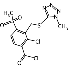 Cn1nnnc1SCc1c(S(C)(=O)=O)ccc(C(=O)Cl)c1Cl